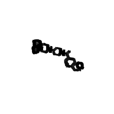 CC(c1ccc2c(c1)OCC2)N1CCC(N2CCS(=O)(=O)CC2)CC1